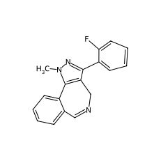 Cn1nc(-c2ccccc2F)c2c1-c1ccccc1C=NC2